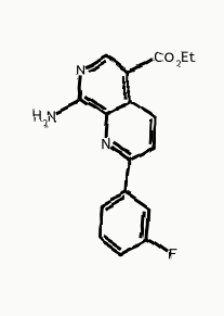 CCOC(=O)c1cnc(N)c2nc(-c3cccc(F)c3)ccc12